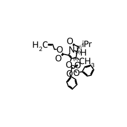 C=CCOC(=O)C1=C(OP(=O)(Oc2ccccc2)Oc2ccccc2)[C@H](C)[C@@H]2[C@@H](C(C)C)C(=O)N12